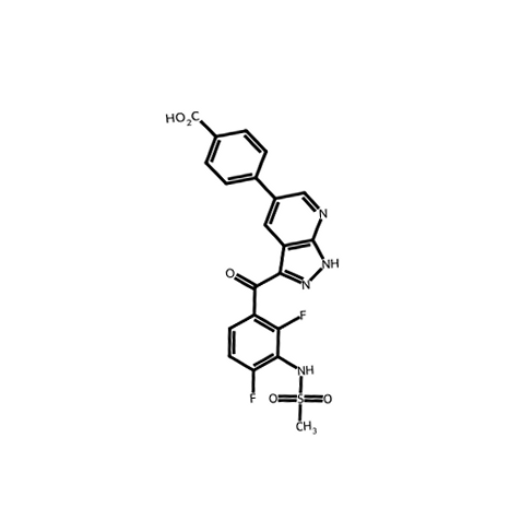 CS(=O)(=O)Nc1c(F)ccc(C(=O)c2n[nH]c3ncc(-c4ccc(C(=O)O)cc4)cc23)c1F